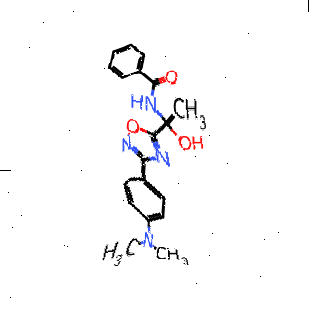 CN(C)c1ccc(-c2noc(C(C)(O)NC(=O)c3ccccc3)n2)cc1